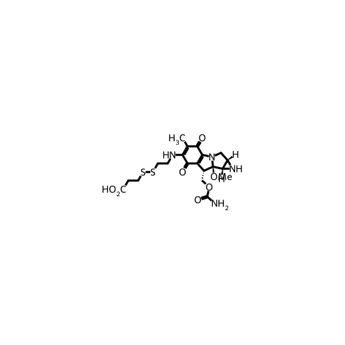 CO[C@@]12[C@H](COC(N)=O)C3=C(C(=O)C(C)=C(NCCSSCCC(=O)O)C3=O)N1C[C@@H]1N[C@@H]12